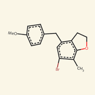 COc1ccc(Cc2cc(Br)c(C)c3c2CCO3)cc1